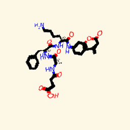 Cc1cc(=O)oc2cc(NC(=O)[C@H](CCCCN)NC(=O)[C@H](Cc3ccccc3)NC(=O)[C@H](C)NC(=O)CCC(=O)O)ccc12